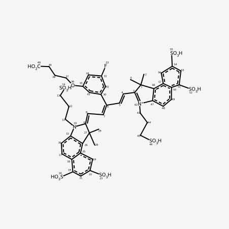 CC1(C)C(/C=C/C(=C/C=C2/N(CCCS(=O)(=O)O)c3ccc4c(S(=O)(=O)O)cc(S(=O)(=O)O)cc4c3C2(C)C)c2cc(F)cc(OCCCC(=O)O)c2)=[N+](CCCS(=O)(=O)O)c2ccc3c(S(=O)(=O)O)cc(S(=O)(=O)O)cc3c21